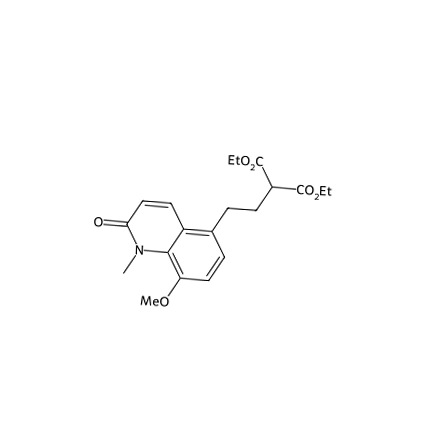 CCOC(=O)C(CCc1ccc(OC)c2c1ccc(=O)n2C)C(=O)OCC